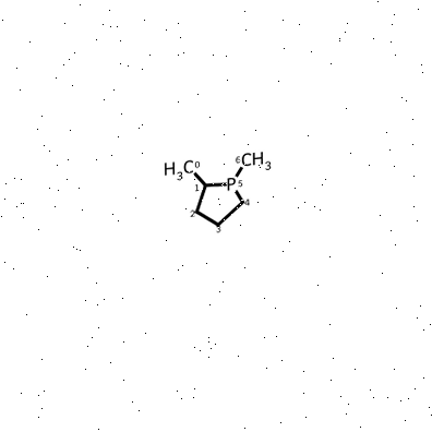 CC1CCCP1C